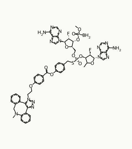 BP(=O)(OC)O[C@H]1[C@@H](F)[C@H](n2cnc3c(N)ncnc32)O[C@@H]1COP(=O)(O[C@@H]1C(C)O[C@@H](n2cnc3c(N)ncnc32)[C@@H]1F)SCc1ccc(OC(=O)c2ccc(OCCn3nnc4c3-c3ccccc3CN(C)c3ccccc3-4)cc2)cc1